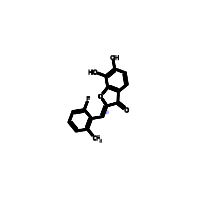 O=C1/C(=C/c2c(F)cccc2C(F)(F)F)Oc2c1ccc(O)c2O